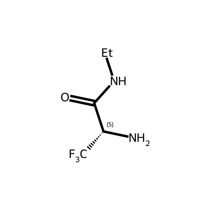 CCNC(=O)[C@H](N)C(F)(F)F